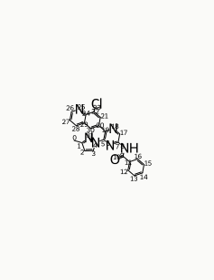 Cc1ccn(-c2nc(NC(=O)c3ccccc3)cnc2-c2cc(Cl)c3ncccc3c2)n1